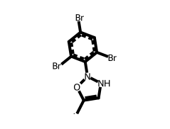 [CH2]C1=CNN(c2c(Br)cc(Br)cc2Br)O1